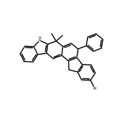 CC1(C)C2=CC(c3ccccc3)C3=C(Cc4cc(Br)ccc43)C2=Cc2c1[nH]c1ccccc21